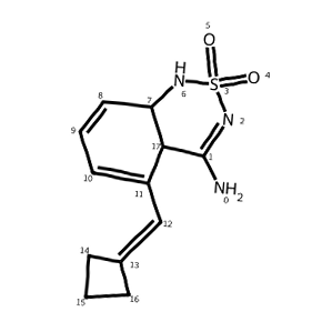 NC1=NS(=O)(=O)NC2C=CC=C(C=C3CCC3)C12